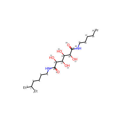 CCC(CC)CCCCNC(=O)C(O)C(O)C(O)C(O)C(=O)NCCCCC(C)C